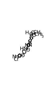 CC(C)(C)OC(=O)N1CC2CN(c3cnc(C(=O)N[C@H]4CC[C@H](Oc5ccc(C#N)c(Cl)c5)CC4)cn3)CC2C1